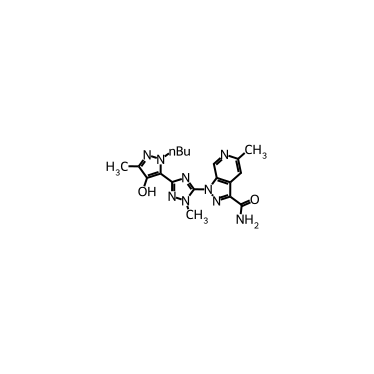 CCCCn1nc(C)c(O)c1-c1nc(-n2nc(C(N)=O)c3cc(C)ncc32)n(C)n1